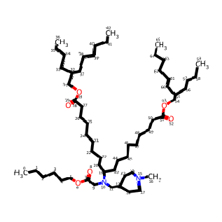 CCCCCCOC(=O)CN(CC1CCN(C)CC1)C(CCCCCCCCC(=O)OCC(CCCC)CCCCCC)CCCCCCCCC(=O)OCC(CCCC)CCCCCC